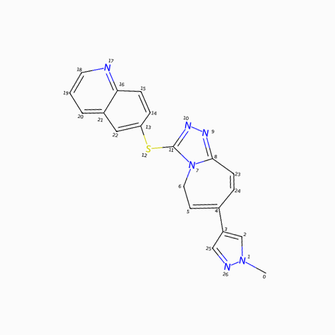 Cn1cc(C2=CCn3c(nnc3Sc3ccc4ncccc4c3)C=C2)cn1